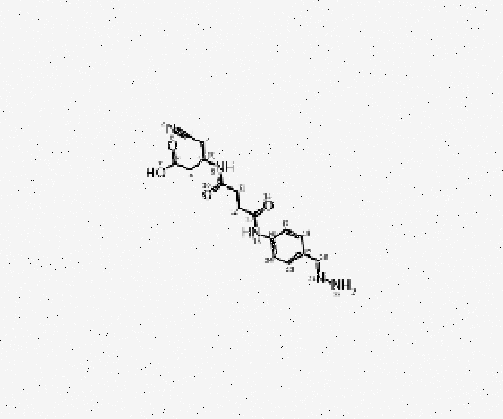 N#CC[C@H](CC(=O)O)NC(=O)CCC(=O)Nc1ccc(C=NN)cc1